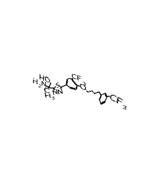 C[C@](N)(CO)c1nnc(-c2ccc(OCCCCc3cccc(C(F)(F)F)c3)c(C(F)(F)F)c2)s1